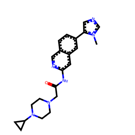 Cn1cncc1-c1ccc2cnc(NC(=O)CN3CCN(C4CC4)CC3)cc2c1